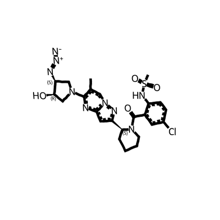 Cc1cn2nc([C@@H]3CCCCN3C(=O)c3cc(Cl)ccc3NS(C)(=O)=O)cc2nc1N1C[C@@H](O)[C@@H](N=[N+]=[N-])C1